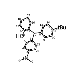 CN(C)c1ccc(C(c2ccc(C(C)(C)C)cc2)c2ccccc2O)cc1